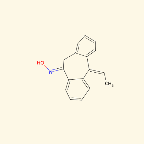 CC=C1c2ccccc2CC(=NO)c2ccccc21